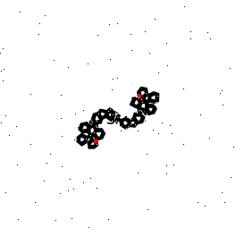 C[Si](C)(c1ccc2c(c1)-c1cc(N3c4ccccc4C(c4ccccc4)(c4ccccc4)c4ccccc43)ccc1C2)c1ccc2c(c1)-c1cc(N3c4ccccc4C(c4ccccc4)(c4ccccc4)c4ccccc43)ccc1C2